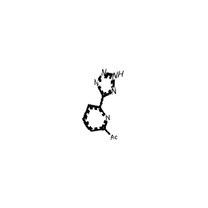 CC(=O)c1cccc(-c2nn[nH]n2)n1